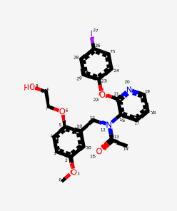 COc1ccc(OCCO)c(CN(C(C)=O)c2cccnc2Oc2ccc(I)cc2)c1